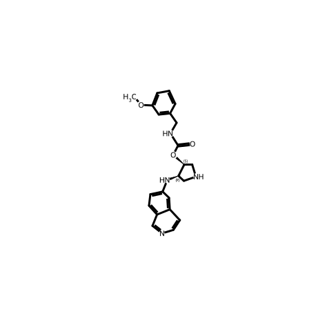 COc1cccc(CNC(=O)O[C@H]2CNC[C@H]2Nc2ccc3cnccc3c2)c1